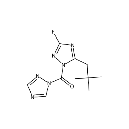 CC(C)(C)Cc1nc(F)nn1C(=O)n1cncn1